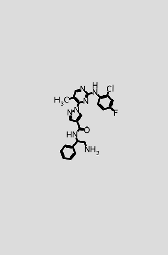 Cc1cnc(Nc2ccc(F)cc2Cl)nc1-n1cc(C(=O)NC(CN)c2ccccc2)cn1